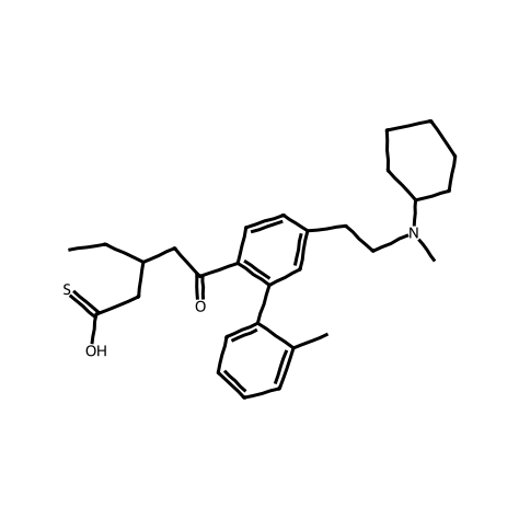 CCC(CC(=O)c1ccc(CCN(C)C2CCCCC2)cc1-c1ccccc1C)CC(O)=S